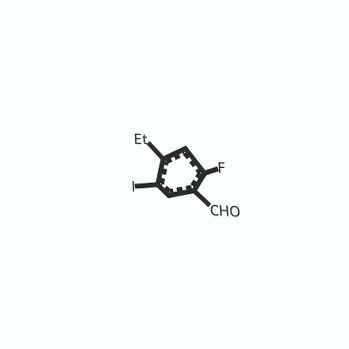 CCc1cc(F)c(C=O)cc1I